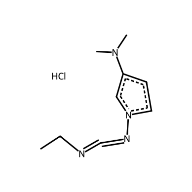 CCN=C=Nn1ccc(N(C)C)c1.Cl